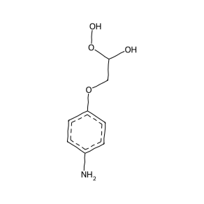 Nc1ccc(OCC(O)OO)cc1